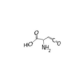 NC(C=C=O)C(=O)O